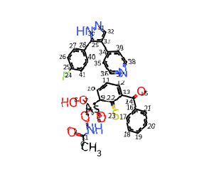 CC(=O)NO[As](=O)(OO)C1C=CC=C(C(=O)c2ccccc2)C1=S.Fc1ccc(-c2[nH]ncc2-c2ccncc2)cc1